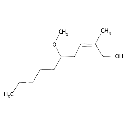 CCCCCC(CC=C(C)CO)OC